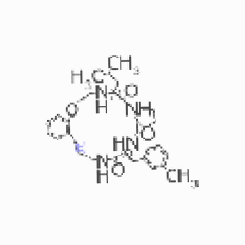 Cc1cccc(C[C@@H]2NC(=O)C3(CCCC3)NC(=O)[C@H](CC(C)C)NCCOc3ccccc3/C=C/CNC2=O)c1